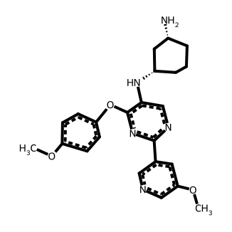 COc1ccc(Oc2nc(-c3cncc(OC)c3)ncc2N[C@H]2CCC[C@@H](N)C2)cc1